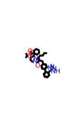 CCCCc1c(Cc2ccc(-c3ccccc3-c3nnn[nH]3)cc2)c(=O)n2n1C(C1(C(=O)OC(C)C)CCCCC1)CCC2